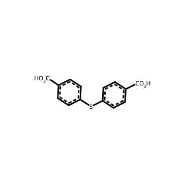 O=C(O)c1ccc(Sc2ccc(C(=O)O)cc2)cc1